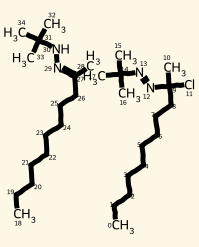 CCCCCCCCCC(C)(Cl)N=NC(C)(C)C.CCCCCCCCCC(C)=NNC(C)(C)C